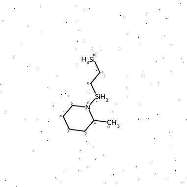 CC1CCCCN1[SiH2]CC[SiH3]